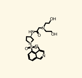 O=C(CN(CCO)CCO)N[C@@H]1CCN(S(=O)(=O)c2cccc3cncc(Cl)c23)C1